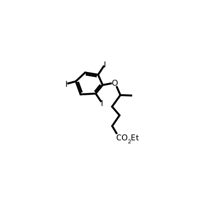 CCOC(=O)CCCC(C)Oc1c(I)cc(I)cc1I